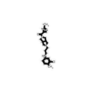 Cc1nc(C(=O)N2CC3CN(CCCNc4ccc(C)c(Cl)c4)CC3C2)cs1